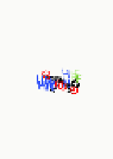 COCC[C@H]([C@@H]1C[C@H]1C(=O)N[C@@H]1CC(C)(C)Oc2ccc(C(F)(F)F)cc21)N1C(=N)NC(C)(C)CC1=O